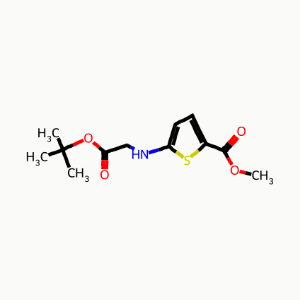 COC(=O)c1ccc(NCC(=O)OC(C)(C)C)s1